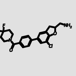 NCC1Cc2cc(-c3ccc(C(=O)N4CCC(F)(F)CC4)cc3)cc(Cl)c2O1